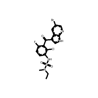 CCN(C)S(=O)(=O)Nc1ccc(F)c(C(=O)c2c[nH]c3ncc(Br)cc23)c1Cl